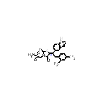 NS(=O)(=O)CN1C(=O)S/C(=C(/Cc2ccc(C(F)(F)F)cc2C(F)(F)F)c2ccc3[nH]ncc3c2)C1=O